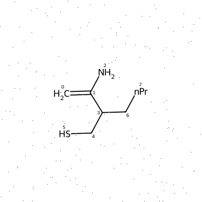 C=C(N)C(CS)CCCC